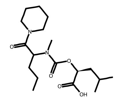 CCCC(C(=O)N1CCCCC1)N(C)C(=O)O[C@@H](CC(C)C)C(=O)O